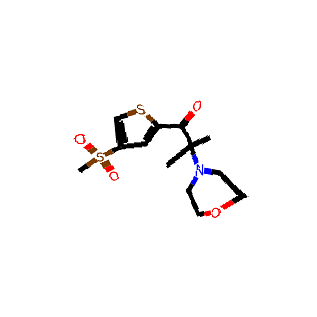 CC(C)(C(=O)c1cc(S(C)(=O)=O)cs1)N1CCOCC1